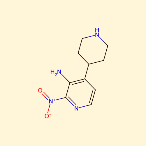 Nc1c(C2CCNCC2)ccnc1[N+](=O)[O-]